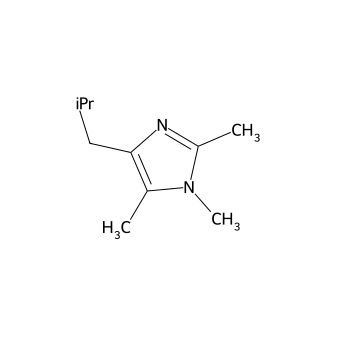 Cc1nc(CC(C)C)c(C)n1C